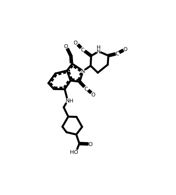 O=C=C1CCC(n2c(=C=O)c3cccc(NCC4CCC(C(=O)O)CC4)c3c2=C=O)C(=C=O)N1